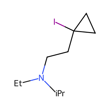 CCN(CCC1(I)CC1)C(C)C